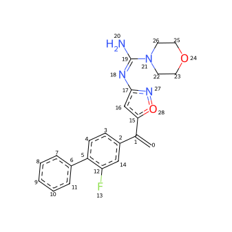 C=C(c1ccc(-c2ccccc2)c(F)c1)c1cc(/N=C(/N)N2CCOCC2)no1